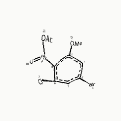 COc1cc(Br)cc(Cl)[c]1[Pb](=[O])[O]C(C)=O